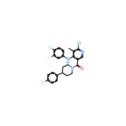 Cc1c(Cl)ncc(C(=O)N2CCC(c3ccc(F)cc3)CC2)c1Nc1ccc(F)c(F)c1